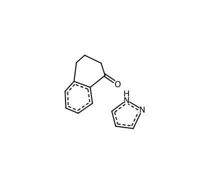 O=C1CCCc2ccccc21.c1cn[nH]c1